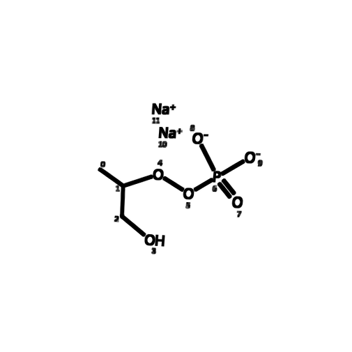 CC(CO)OOP(=O)([O-])[O-].[Na+].[Na+]